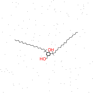 CCCCCCCCCCCCCCCCCC(C)(C)c1cc(CO)cc(C(C)(C)CCCCCCCCCCCCCCCCC)c1O